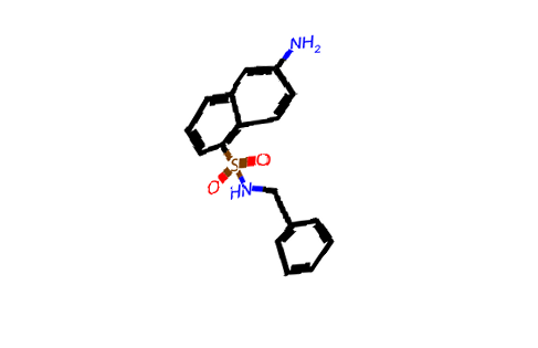 Nc1ccc2c(S(=O)(=O)NCc3ccccc3)cccc2c1